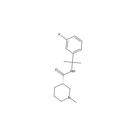 CN1CCC[C@H](C(=O)NC(C)(C)c2cccc(F)c2)C1